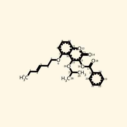 CCC=CCCOc1cccc2oc(=O)c(OC(=O)c3ccccc3)c(OC(C)C)c12